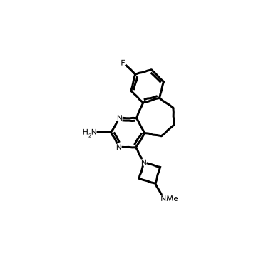 CNC1CN(c2nc(N)nc3c2CCCc2ccc(F)cc2-3)C1